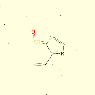 C=CC1=NC=CC1=S=O